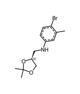 Cc1cc(NC[C@H]2COC(C)(C)O2)ccc1Br